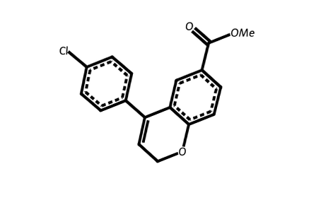 COC(=O)c1ccc2c(c1)C(c1ccc(Cl)cc1)=CCO2